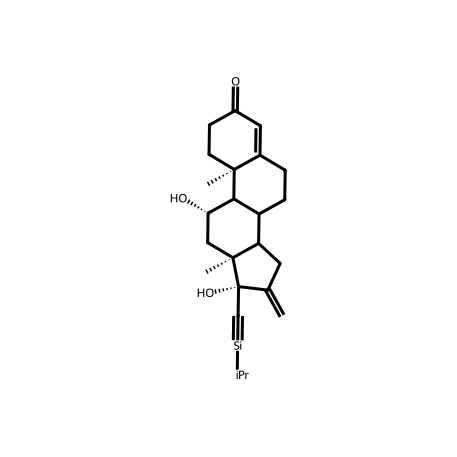 C=C1CC2C3CCC4=CC(=O)CC[C@]4(C)C3[C@@H](O)C[C@]2(C)[C@]1(O)C#[Si]C(C)C